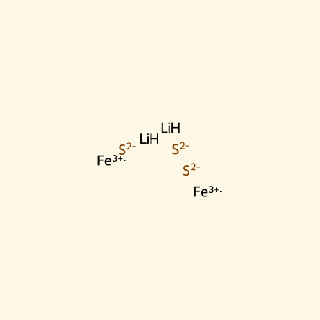 [Fe+3].[Fe+3].[LiH].[LiH].[S-2].[S-2].[S-2]